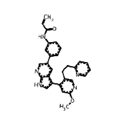 C=CC(=O)Nc1cccc(-c2cnc3[nH]cc(-c4cc(OC)ncc4CCc4ccccn4)c3c2)c1